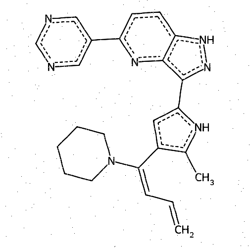 C=C/C=C(\c1cc(-c2n[nH]c3ccc(-c4cncnc4)nc23)[nH]c1C)N1CCCCC1